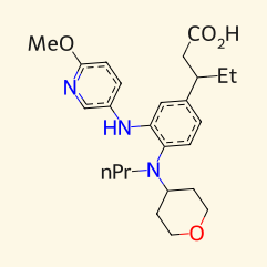 CCCN(c1ccc(C(CC)CC(=O)O)cc1Nc1ccc(OC)nc1)C1CCOCC1